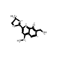 CC1CSC(c2cc(OP)c3ccc(CO)c(Cl)c3n2)=N1